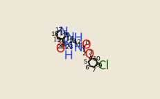 O=C(COc1cccc(Cl)c1)NCc1nc2ncccc2c(=O)[nH]1